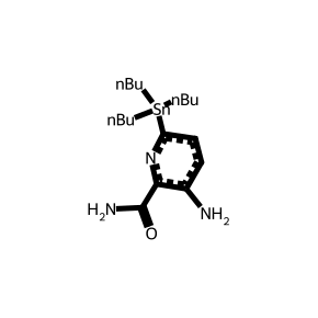 CCC[CH2][Sn]([CH2]CCC)([CH2]CCC)[c]1ccc(N)c(C(N)=O)n1